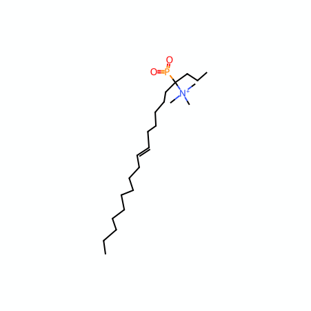 CCCCCCCCCC=CCCCCCC(CCC)(P(=O)=O)[N+](C)(C)C